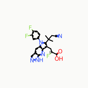 CC(C)(CC#N)c1c(C[C@H](F)C(=O)O)c2nc3[nH]ncc3cc2n1-c1ccc(F)c(F)c1